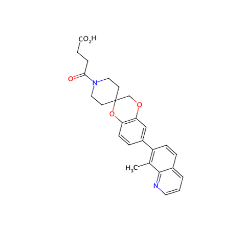 Cc1c(-c2ccc3c(c2)OCC2(CCN(C(=O)CCC(=O)O)CC2)O3)ccc2cccnc12